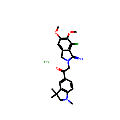 Br.COc1cc2c(c(F)c1OC)C(=N)N(CC(=O)c1ccc3c(c1)C(C)(C)CN3C)C2